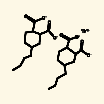 CCCCC1CCC(C(=O)[O-])C(C(=O)[O-])C1.CCCCC1CCC(C(=O)[O-])C(C(=O)[O-])C1.[Th+4]